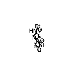 CCC(=O)Nc1ccc(N2CCC(=O)NC2=O)nc1